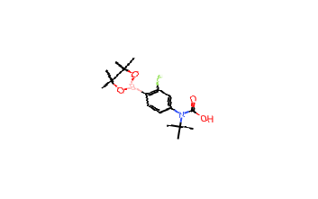 CC(C)(C)N(C(=O)O)c1ccc(B2OC(C)(C)C(C)(C)O2)c(F)c1